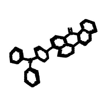 c1ccc(N(c2ccccc2)c2ccc(-c3ccc4c5c(cccc35)-c3ccc5ccccc5c3N4)cc2)cc1